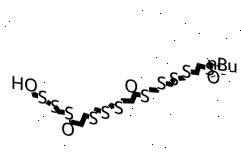 CCCC[S+]([O-])CCSCSCSCCSC(=O)CCSCSCSCCC(=O)SCSCSCO